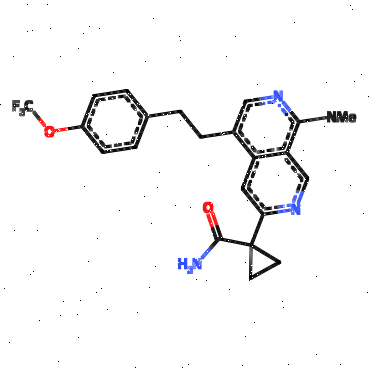 CNc1ncc(CCc2ccc(OC(F)(F)F)cc2)c2cc(C3(C(N)=O)CC3)ncc12